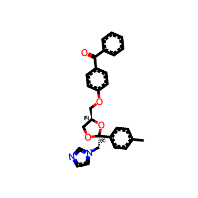 Cc1ccc([C@@]2(Cn3ccnc3)OC[C@@H](COc3ccc(C(=O)c4ccccc4)cc3)O2)cc1